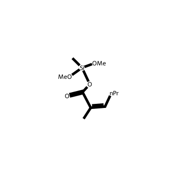 CCCC=C(C)C(=O)O[Si](C)(OC)OC